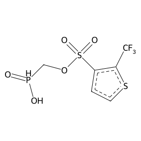 O=[PH](O)COS(=O)(=O)c1ccsc1C(F)(F)F